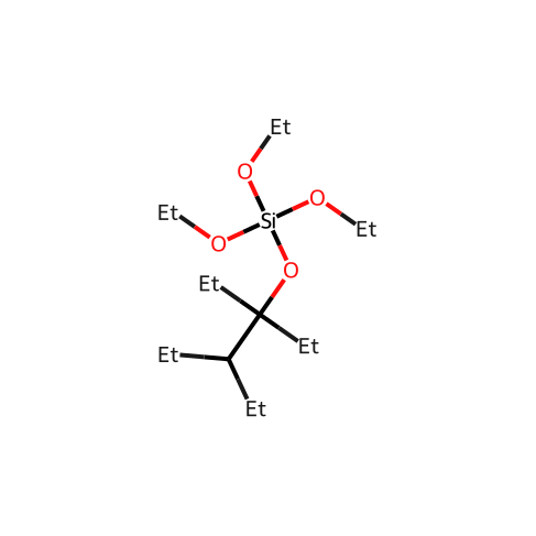 CCO[Si](OCC)(OCC)OC(CC)(CC)C(CC)CC